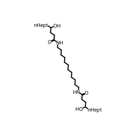 CCCCCCCC(O)CCC(=O)NCCCCCCCCCCCCNC(=O)CCC(O)CCCCCCC